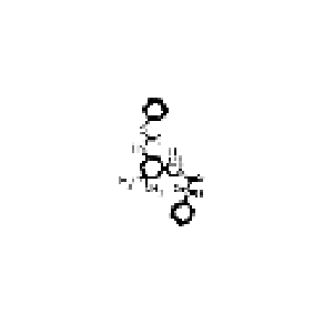 CC1(C)CC(NC(=S)Sc2ccccc2)CC(C)(CNC(=S)S(=O)(=O)c2ccccc2)C1